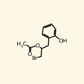 CC(=O)OC(CBr)Cc1ccccc1O